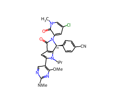 CNc1ncc(-c2cc3c(n2C(C)C)[C@H](c2ccc(C#N)cc2)N(c2cc(Cl)cn(C)c2=O)C3=O)c(OC)n1